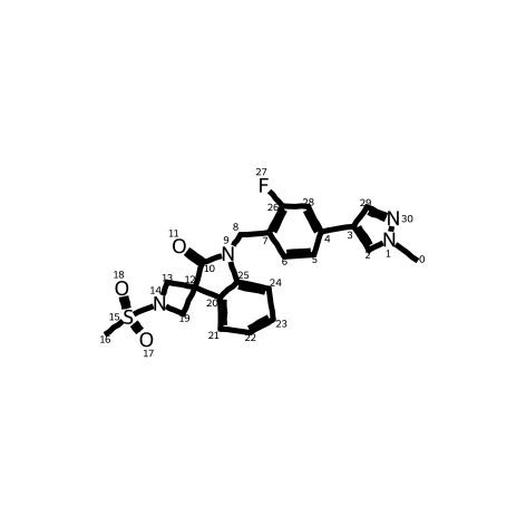 Cn1cc(-c2ccc(CN3C(=O)C4(CN(S(C)(=O)=O)C4)c4ccccc43)c(F)c2)cn1